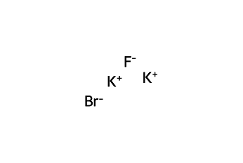 [Br-].[F-].[K+].[K+]